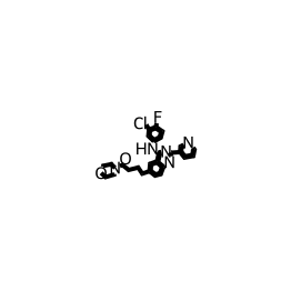 O=C(CCCc1ccc2nc(-c3cccnc3)nc(Nc3ccc(F)c(Cl)c3)c2c1)N1CCOCC1